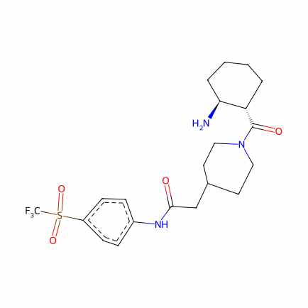 N[C@H]1CCCC[C@@H]1C(=O)N1CCC(CC(=O)Nc2ccc(S(=O)(=O)C(F)(F)F)cc2)CC1